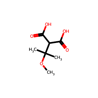 COC(C)(C)C(C(=O)O)C(=O)O